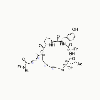 CCN(CC)C(=O)/C=C/C=C(\C)[C@@H]1C/C=C/C=C/C[C@H](C)[C@@H](O)[C@@H](CCC(C)=O)C(=O)N[C@@H](C(C)C)C(=O)N[C@@H](Cc2cccc(O)c2)C(=O)N2CCCC(N2)C(=O)O1